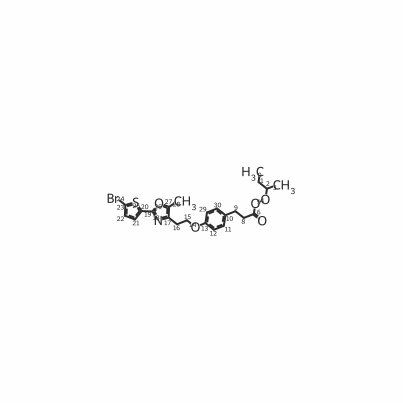 CCC(C)OOC(=O)CCc1ccc(OCCc2nc(-c3ccc(Br)s3)oc2C)cc1